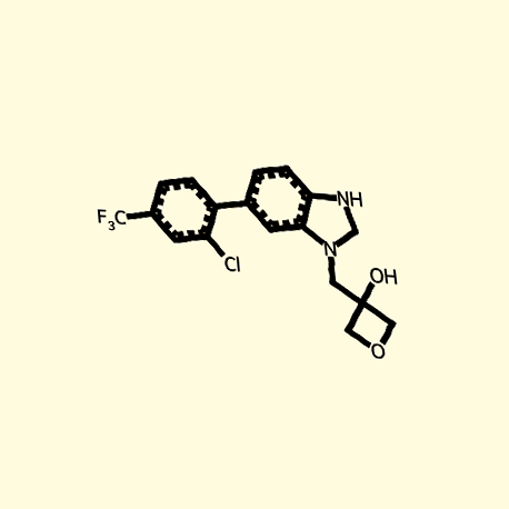 OC1(CN2CNc3ccc(-c4ccc(C(F)(F)F)cc4Cl)cc32)COC1